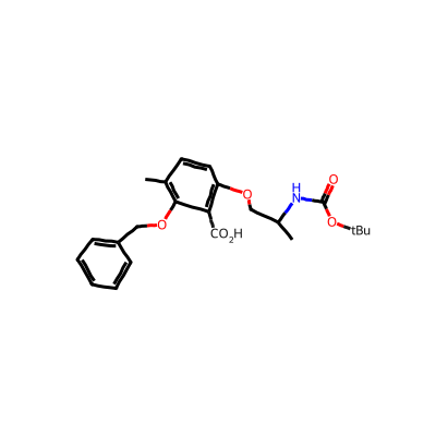 Cc1ccc(OCC(C)NC(=O)OC(C)(C)C)c(C(=O)O)c1OCc1ccccc1